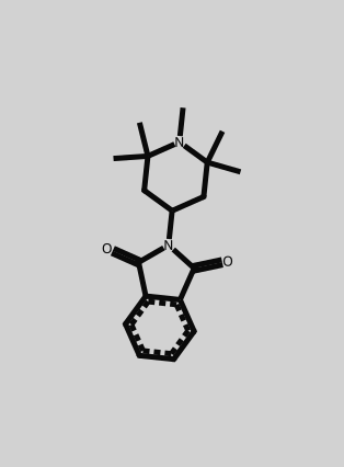 CN1C(C)(C)CC(N2C(=O)c3ccccc3C2=O)CC1(C)C